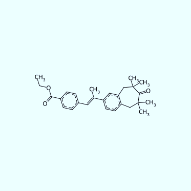 CCOC(=O)c1ccc(C=C(C)c2ccc3c(c2)CC(C)(C)C(=O)C(C)(C)C3)cc1